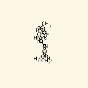 CCCS(=O)(=O)Nc1ccc(F)c(C(=O)c2c[nH]c3ncc(-c4cnn(C5CCN(C(=O)OC(C)(C)C)CC5)c4)cc23)c1Cl